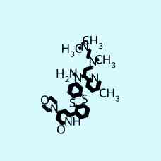 Cc1ccc(C(CCN(C)CCN(C)C)N(N)c2ccc3c(c2)Sc2cccc(-c4cc(N5CCOCC5)cc(=O)[nH]4)c2S3)nc1